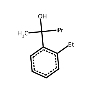 CCc1ccccc1C(C)(O)C(C)C